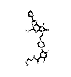 Cn1c(=O)n(CCN2CCN(c3cc(C(=O)NCC[S@@+](C)[O-])c(F)cc3F)CC2)c2nc(N)n3nc(-c4ccco4)nc3c21